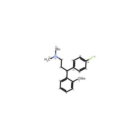 COc1ccccc1C(CCN(C)C(C)(C)C)c1ccc(F)cc1